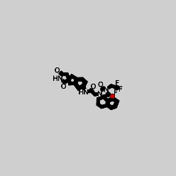 O=C1CC2(Cc3ccc(NC(=O)CN4C(=O)N(CC(F)(F)F)C(=O)C45CCCc4ccccc45)cc3C2)C(=O)N1